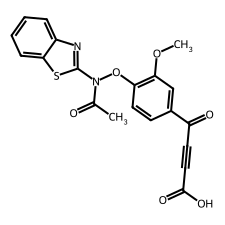 COc1cc(C(=O)C#CC(=O)O)ccc1ON(C(C)=O)c1nc2ccccc2s1